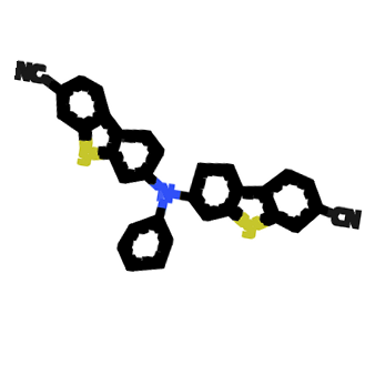 N#Cc1ccc2c(c1)sc1cc(N(c3ccccc3)c3ccc4c(c3)sc3cc(C#N)ccc34)ccc12